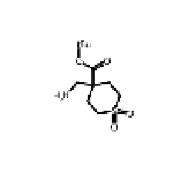 CC(C)(C)OC(=O)C1(CN)CCS(=O)(=O)CC1